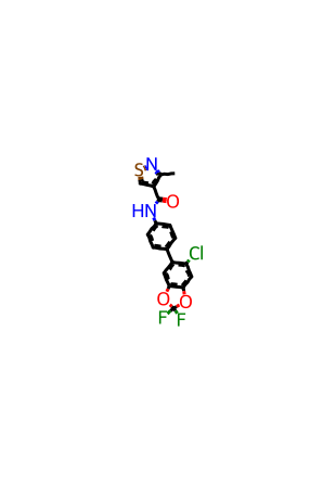 Cc1nscc1C(=O)Nc1ccc(-c2cc3c(cc2Cl)OC(F)(F)O3)cc1